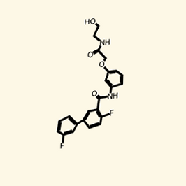 O=C(COc1cccc(NC(=O)c2cc(-c3cccc(F)c3)ccc2F)c1)NCCO